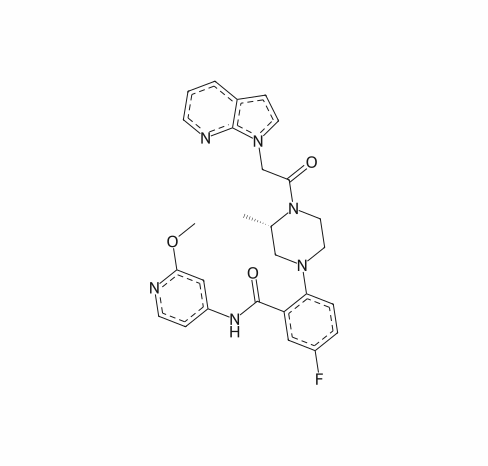 COc1cc(NC(=O)c2cc(F)ccc2N2CCN(C(=O)Cn3ccc4cccnc43)[C@@H](C)C2)ccn1